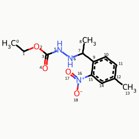 CCOC(=O)NNC(C)c1ccc(C)cc1[N+](=O)[O-]